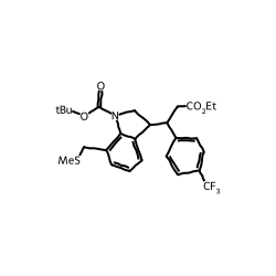 CCOC(=O)CC(c1ccc(C(F)(F)F)cc1)C1CN(C(=O)OC(C)(C)C)c2c(CSC)cccc21